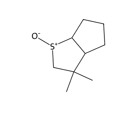 CC1(C)C[S+]([O-])C2CCCC21